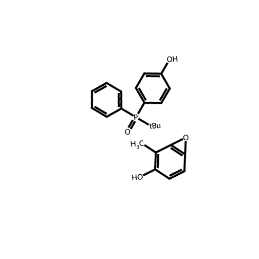 CC(C)(C)P(=O)(c1ccccc1)c1ccc(O)cc1.Cc1c(O)ccc2c1O2